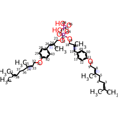 CC(C)=CCC/C(C)=C/COc1ccc(/C=C(\C)COP(=O)(OC/C(C)=C/c2ccc(OC/C=C(\C)CCC=C(C)C)cc2)OP(=O)(O)O)cc1